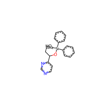 CC(C)(C)[Si](OC(C[N+](=O)[O-])c1ccncn1)(c1ccccc1)c1ccccc1